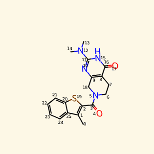 Cc1c(C(=O)N2CCc3c(nc(N(C)C)[nH]c3=O)C2)sc2ccccc12